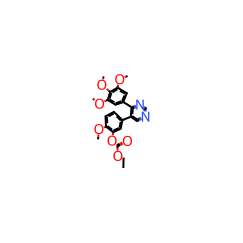 CCOC(=O)Oc1cc(-c2cncnc2-c2cc(OC)c(OC)c(OC)c2)ccc1OC